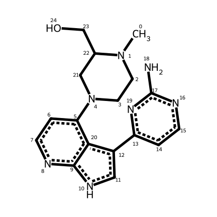 CN1CCN(c2ccnc3[nH]cc(-c4ccnc(N)n4)c23)CC1CO